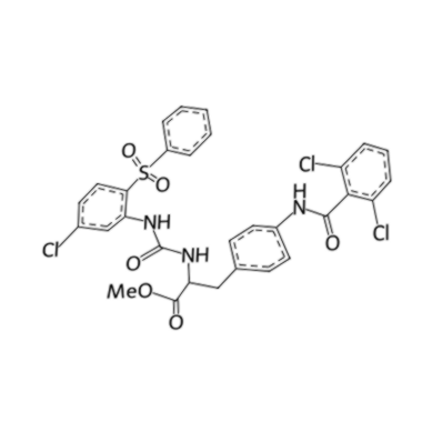 COC(=O)C(Cc1ccc(NC(=O)c2c(Cl)cccc2Cl)cc1)NC(=O)Nc1cc(Cl)ccc1S(=O)(=O)c1ccccc1